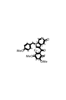 COc1ccc(Cn2cc(C(=O)c3c(F)c(OC)cc(OC)c3F)c3cc(Cl)ncc32)cc1